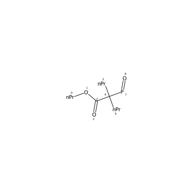 CCCOC(=O)C(CCC)(CCC)P=O